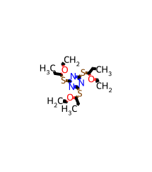 C=COC(CC)Sc1nc(SC(CC)OC=C)nc(SC(CC)OC=C)n1